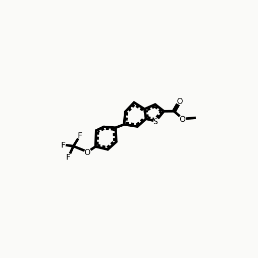 COC(=O)c1cc2ccc(-c3ccc(OC(F)(F)F)cc3)cc2s1